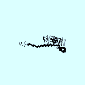 CCCCCCCCCCCCCCCCC(CC(C)C(=O)Oc1ccccc1)c1cc(C(C)(C)C)c(O)c(C(C)(C)C)c1